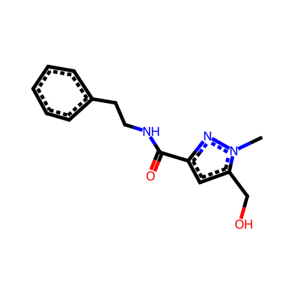 Cn1nc(C(=O)NCCc2ccccc2)cc1CO